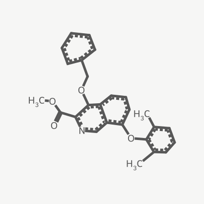 COC(=O)c1ncc2c(Oc3c(C)cccc3C)cccc2c1OCc1ccccc1